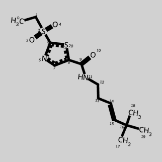 CCS(=O)(=O)c1ncc(C(=O)NCC/C=C/C(C)(C)C)s1